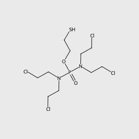 O=P(OCCS)(N(CCCl)CCCl)N(CCCl)CCCl